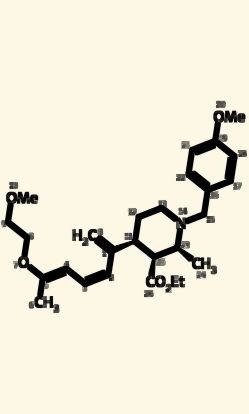 C=C(/C=C\C=C(/C)OCCOC)[C@H]1CCN(Cc2ccc(OC)cc2)[C@@H](C)[C@H]1C(=O)OCC